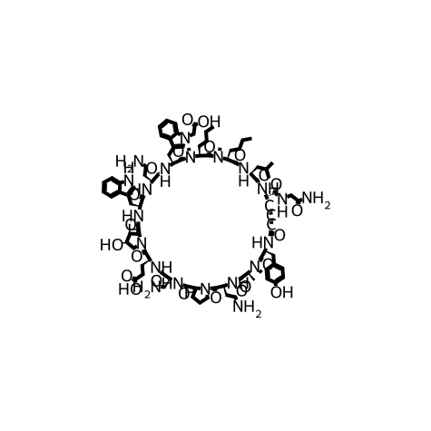 CCCC[C@H]1C(=O)N(C)[C@@H](CCCC)C(=O)N[C@@H](CC(C)C)C(=O)N[C@H](C(=O)NCC(N)=O)CCCC(=O)N[C@@H](Cc2ccc(O)cc2)C(=O)N(C)[C@@H](C)C(=O)N[C@@H](CC(N)=O)C(=O)N2CCC[C@H]2C(=O)N[C@@H](CN)C(=O)N[C@@H](CCC(=O)O)C(=O)N2C[C@H](O)C[C@H]2C(=O)N[C@@H](Cc2c[nH]c3ccccc23)C(=O)N[C@@H](CCN)C(=O)N[C@@H](Cc2cn(CC(=O)O)c3ccccc23)C(=O)N1C